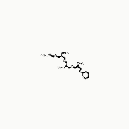 COCCOCC(COCC(COCC(COC1CCCCO1)OC)OC)OC